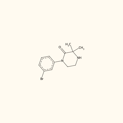 CC1(C)NCCN(c2cccc(Br)c2)C1=O